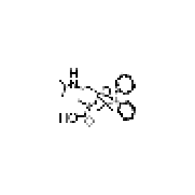 CC(C)NCC[C@H](CN(C)C(=O)O)O[Si](c1ccccc1)(c1ccccc1)C(C)(C)C